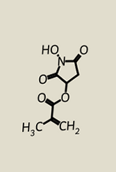 C=C(C)C(=O)OC1CC(=O)N(O)C1=O